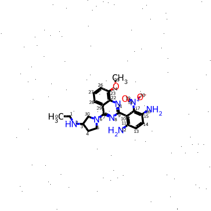 CCNC1CCN(c2nc(-c3c(N)ccc(N)c3[N+](=O)[O-])nc3c(OC)cccc23)C1